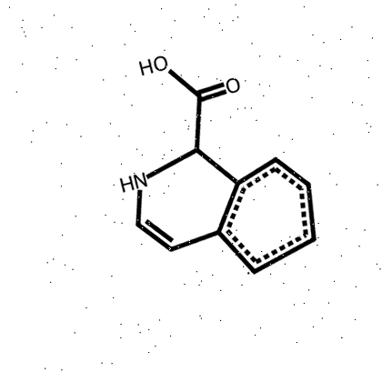 O=C(O)C1NC=Cc2[c]cccc21